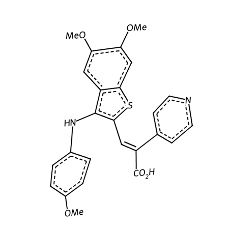 COc1ccc(Nc2c(C=C(C(=O)O)c3ccncc3)sc3cc(OC)c(OC)cc23)cc1